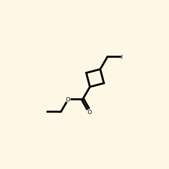 CCOC(=O)C1CC(CI)C1